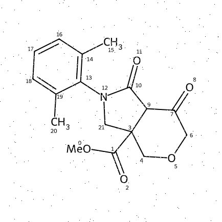 COC(=O)C12COCC(=O)C1C(=O)N(c1c(C)cccc1C)C2